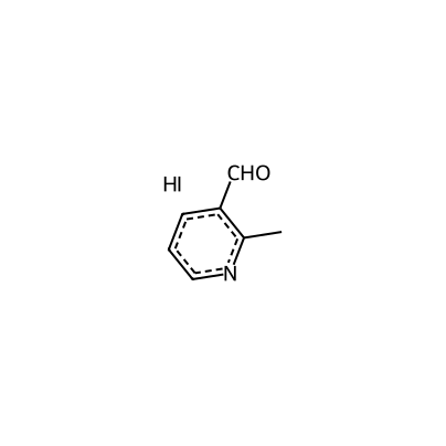 Cc1ncccc1C=O.I